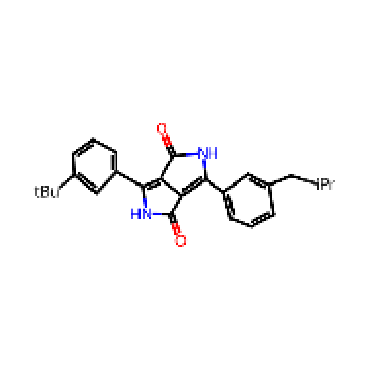 CC(C)Cc1cccc(C2=C3C(=O)NC(c4cccc(C(C)(C)C)c4)=C3C(=O)N2)c1